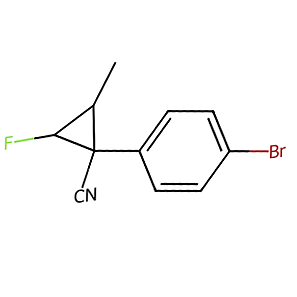 CC1C(F)C1(C#N)c1ccc(Br)cc1